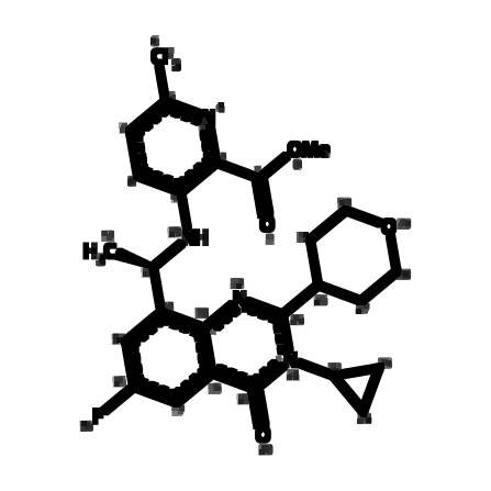 COC(=O)c1nc(C(F)(F)F)ccc1N[C@H](C)c1cc(F)cc2c(=O)n(C3CC3)c(C3CCOCC3)nc12